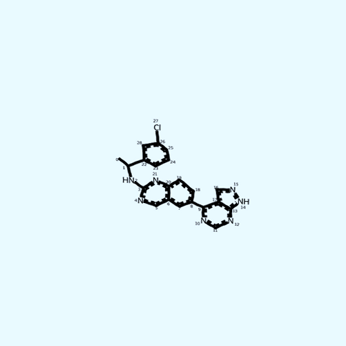 CC(Nc1ncc2cc(-c3ncnc4[nH]ncc34)ccc2n1)c1cccc(Cl)c1